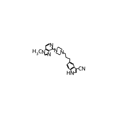 Cn1cnc2c(N3CCN(CCCc4ccc5[nH]cc(C#N)c5c4)CC3)nccc21